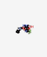 CC1=C(C(=O)O)C(c2cncc(C(F)(F)F)c2)C(C(=O)OCCN(C)Cc2ccccc2)=C(C)N1